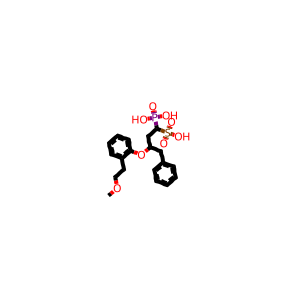 COCCc1ccccc1OC(Cc1ccccc1)CC(P(=O)(O)O)S(=O)(=O)O